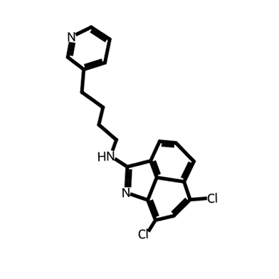 Clc1cc(Cl)c2cccc3c2c1N=C3NCCCCc1cccnc1